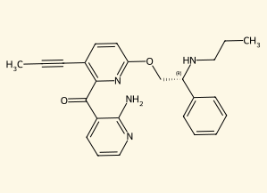 CC#Cc1ccc(OC[C@H](NCCC)c2ccccc2)nc1C(=O)c1cccnc1N